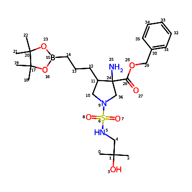 CC(C)(O)CNS(=O)(=O)N1CC(CCCB2OC(C)(C)C(C)(C)O2)C(N)(C(=O)OCc2ccccc2)C1